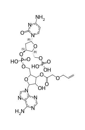 C=CCOCC(=O)OC1C(COP(=O)(O)O[C@H]2C[C@H](n3ccc(N)nc3=O)O[C@@H]2COP(=O)(O)O)OC(n2cnc3c(N)ncnc32)C1O